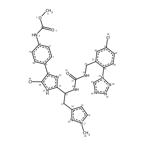 COC(=O)Nc1ccc(-c2nc(C(Cc3ccn(C)n3)NC(=O)NCc3cc(Cl)ccc3-n3cnnn3)[nH]c2Cl)cc1